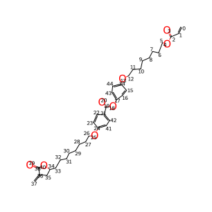 C=CC(=O)OCCCCCCCCOc1ccc(OC(=O)c2ccc(OCCCCCCCCC3CC(=C)C(=O)O3)cc2)cc1